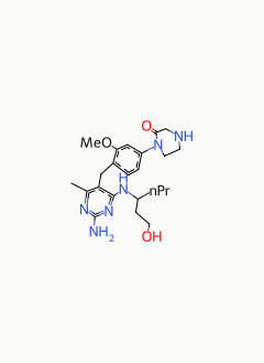 CCCC(CCO)Nc1nc(N)nc(C)c1Cc1ccc(N2CCNCC2=O)cc1OC